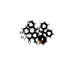 NC(=O)c1c(CC=O)c(-c2ccccc2F)c2c(c(-c3ccncc3)nn2C(c2ccccc2)(c2ccccc2)c2ccccc2)c1C1CCCNC1